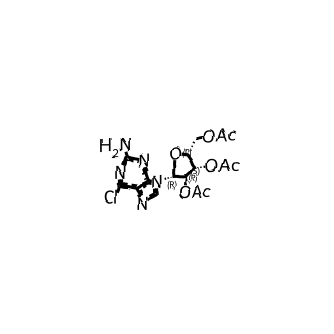 CC(=O)OC[C@H]1O[C@@H](n2cnc3c(Cl)nc(N)nc32)[C@H](OC(C)=O)[C@H]1OC(C)=O